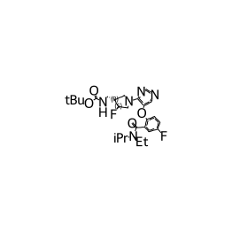 CCN(C(=O)c1cc(F)ccc1Oc1cncnc1N1C[C@@H](CNC(=O)OC(C)(C)C)[C@H](F)C1)C(C)C